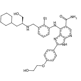 CCc1c(CN[C@H](CO)CC2CCCCC2)cccc1Nc1c(C(N)=O)cnc2[nH]c(-c3ccc(OCCO)cc3)nc12